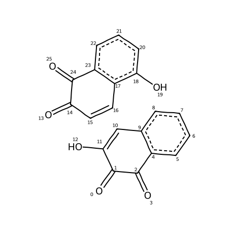 O=C1C(=O)c2ccccc2C=C1O.O=C1C=Cc2c(O)cccc2C1=O